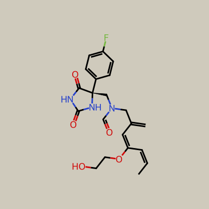 C=C(/C=C(\C=C/C)OCCO)CN(C=O)C[C@@]1(c2ccc(F)cc2)NC(=O)NC1=O